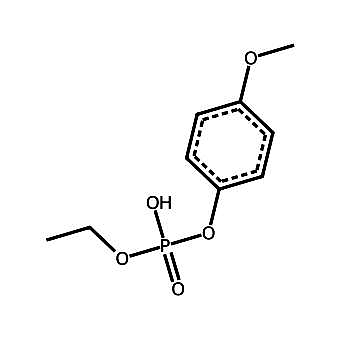 CCOP(=O)(O)Oc1ccc(OC)cc1